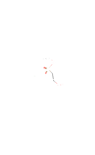 Cl.O=COS(=O)(=O)CCO